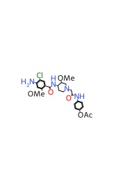 COc1cc(N)c(Cl)cc1C(=O)N[C@@H]1CCN(CC(=O)Nc2ccc(OC(C)=O)cc2)C[C@@H]1OC